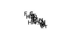 Cc1nc2ncc(-c3c[nH]c4nc(N[C@H](C)C(F)(F)F)ncc34)cc2n1C(C)C